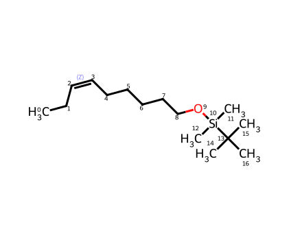 CC/C=C\CCCCCO[Si](C)(C)C(C)(C)C